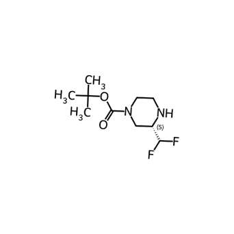 CC(C)(C)OC(=O)N1CCN[C@H](C(F)F)C1